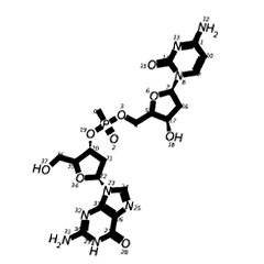 CP(=O)(OCC1O[C@@H](n2ccc(N)nc2=O)C[C@H]1O)O[C@@H]1C[C@H](n2cnc3c(=O)[nH]c(N)nc32)OC1CO